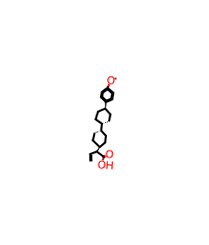 C=CC(C(=O)O)[C@H]1CC[C@H]([C@H]2CC[C@H](c3ccc(OC)cc3)CC2)CC1